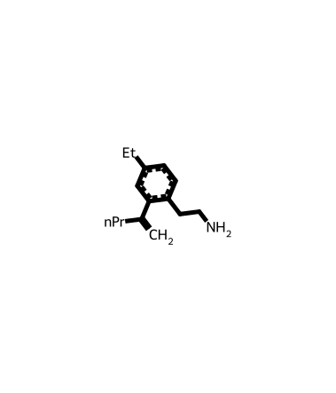 C=C(CCC)c1cc(CC)ccc1CCN